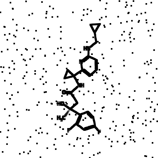 C[C@](O)(CC(=O)NC1(c2cccc(NCC3CC3)n2)CC1)c1ccc(F)cc1F